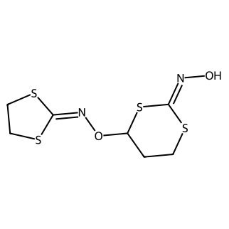 ON=C1SCCC(ON=C2SCCS2)S1